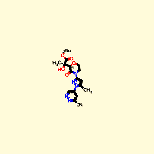 Cc1cc(N2CCO[C@H]([C@@](C)(O)C(=O)OC(C)(C)C)C2=O)nn1-c1cnnc(C#N)c1